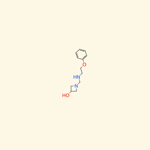 OC1CN(CNCCOc2ccccc2)C1